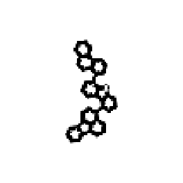 c1ccc2c(c1)-c1cccc3c(-c4cccc5oc6c(-c7cccc8c7ccc7ccccc78)cccc6c45)ccc-2c13